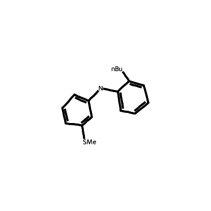 CCCCc1ccccc1[N]c1cccc(SC)c1